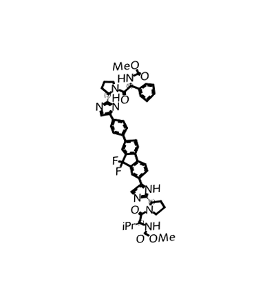 COC(=O)N[C@H](C(=O)N1CCC[C@H]1c1ncc(-c2ccc3c(c2)C(F)(F)c2cc(-c4ccc(-c5cnc([C@@H]6CCCN6C(=O)[C@H](NC(=O)OC)c6ccccc6)[nH]5)cc4)ccc2-3)[nH]1)C(C)C